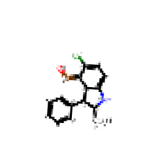 O=S=C1C(Cl)=CC=C2NC(C(=O)O)C(c3ccccc3)C21